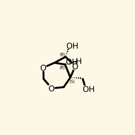 OC[C@@]12COCOC([C@H](O)O1)[C@H]2O